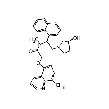 Cc1ccc(OCC(=O)N(C)C(CN2CC[C@H](O)C2)c2cccc3ccccc23)c2cccnc12